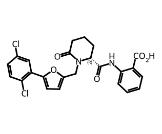 O=C(O)c1ccccc1NC(=O)[C@H]1CCCC(=O)N1Cc1ccc(-c2cc(Cl)ccc2Cl)o1